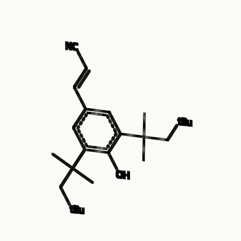 CC(C)(C)CC(C)(C)c1cc(/C=C/C#N)cc(C(C)(C)CC(C)(C)C)c1O